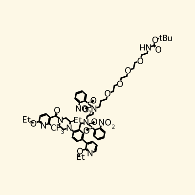 CCOc1ccc(C(=O)N2CCN(c3ccc(-c4cccnc4OCC)cc3CN(CCN(CCCOCCOCCOCCOCCNC(=O)OC(C)(C)C)S(=O)(=O)c3ccccc3[N+](=O)[O-])S(=O)(=O)c3ccccc3[N+](=O)[O-])[C@H](CC)C2)c(C(F)(F)F)n1